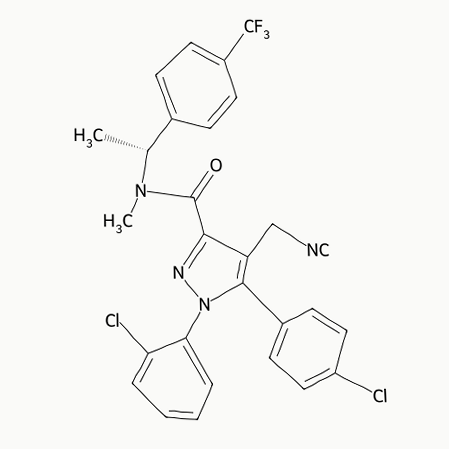 [C-]#[N+]Cc1c(C(=O)N(C)[C@H](C)c2ccc(C(F)(F)F)cc2)nn(-c2ccccc2Cl)c1-c1ccc(Cl)cc1